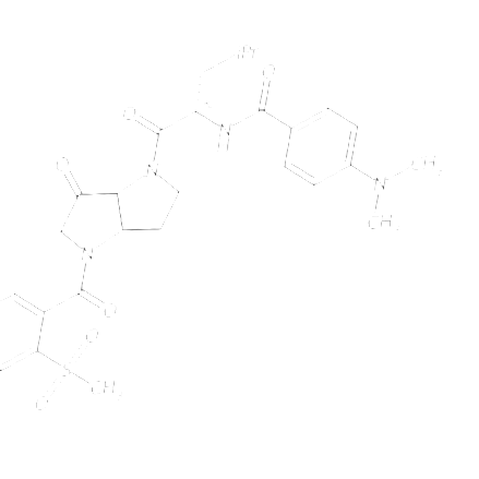 CC(C)C[C@H](NC(=O)c1ccc(N(C)C)cc1)C(=O)N1CCC2C1C(=O)CN2C(=O)c1ccccc1S(C)(=O)=O